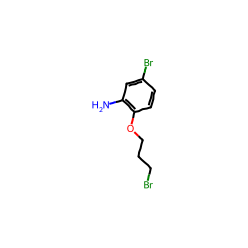 Nc1cc(Br)ccc1OCCCBr